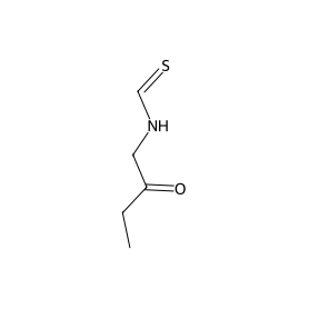 CCC(=O)CNC=S